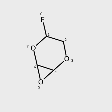 FC1COC2OC2O1